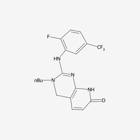 CCCCN1Cc2ccc(=O)[nH]c2N=C1Nc1cc(C(F)(F)F)ccc1F